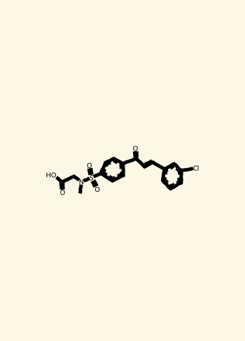 CN(CC(=O)O)S(=O)(=O)c1ccc(C(=O)/C=C/c2cccc(Cl)c2)cc1